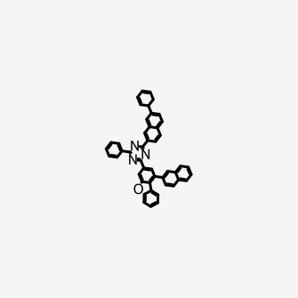 C1=CCC(c2ccc3ccc(-c4nc(-c5ccccc5)nc(-c5cc(-c6ccc7ccccc7c6)c6c(c5)oc5ccccc56)n4)cc3c2)C=C1